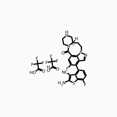 N#Cc1c(N)sc2c(F)ccc(-c3c(F)cc4c5c3cnn5CC[C@H]3CNCCN3C4=O)c12.O=C(O)C(F)(F)F.O=C(O)C(F)(F)F